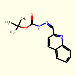 CC(C)(C)OC(=O)N/N=C\c1ccc2ccccc2n1